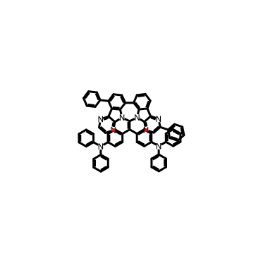 c1ccc(-c2cnc3c(n2)c2cccc4c5ccc(-c6ccccc6)c6c7nccnc7n(c(=C(c7ccc(N(c8ccccc8)c8ccccc8)cc7)c7ccc(N(c8ccccc8)c8ccccc8)cc7)n3c42)c56)cc1